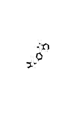 CCn1c(=O)n(-c2ccc(Oc3nc4cscc4[nH]3)cc2)c2ncccc21